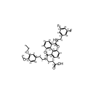 CCOc1cc(CCN(CCC(=O)O)C(=O)c2ccccc2-c2ccccc2C(=O)NCc2cc(F)cc(F)c2)ccc1OC